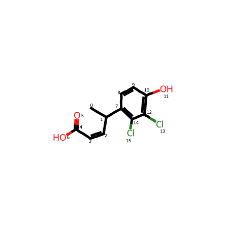 CC(/C=C\C(=O)O)c1ccc(O)c(Cl)c1Cl